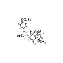 CCCCOC(/C=C/c1ccc(C(=O)OCC)cc1)c1ccc2c(c1)C(C)(C)CCC2(C)C